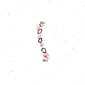 CC[C@H](C)[C@H](F)C(=O)O[C@H]1CC[C@H](COc2ccc(OC[C@H]3CC[C@H](OC(=O)[C@@H](F)[C@@H](C)CC)CC3)cc2)CC1